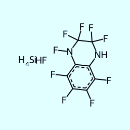 F.Fc1c(F)c(F)c2c(c1F)NC(F)(F)C(F)(F)N2F.[SiH4]